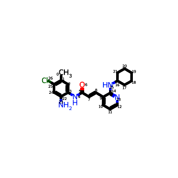 Cc1cc(NC(=O)/C=C/c2cccnc2NC2CCCCC2)c(N)cc1Cl